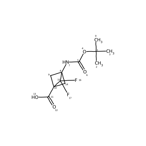 CC(C)(C)OC(=O)NC12CC(C(=O)O)(C1)C2(F)F